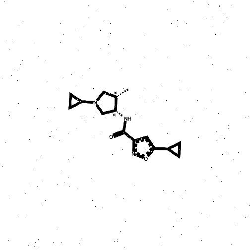 C[C@H]1CN(C2CC2)C[C@H]1NC(=O)c1cc(C2CC2)on1